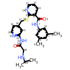 Cc1cc(C)cc(NC(=O)c2cccnc2SCc2ccnc(NC(=O)CNC(C)C)c2)c1